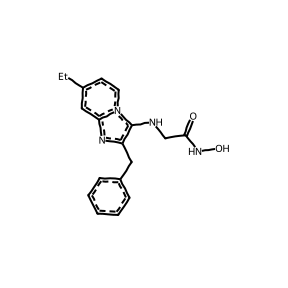 CCc1ccn2c(NCC(=O)NO)c(Cc3ccccc3)nc2c1